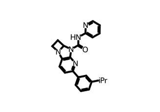 CC(C)c1cccc(-c2ccc3c(n2)N(C(=O)Nc2ccccn2)C2CCN32)c1